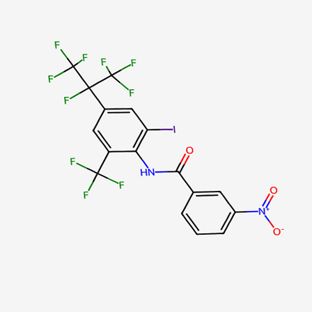 O=C(Nc1c(I)cc(C(F)(C(F)(F)F)C(F)(F)F)cc1C(F)(F)F)c1cccc([N+](=O)[O-])c1